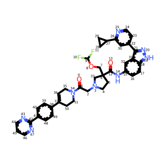 O=C(CN1CCC(COC(F)F)(C(=O)Nc2ccc3[nH]nc(-c4ccnc(C5CC5)c4)c3c2)C1)N1CC=C(c2ccc(-c3ncccn3)cc2)CC1